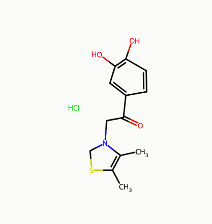 CC1=C(C)N(CC(=O)c2ccc(O)c(O)c2)CS1.Cl